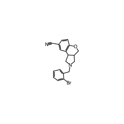 N#Cc1ccc2c(c1)C1CN(Cc3ccccc3Br)CC1CO2